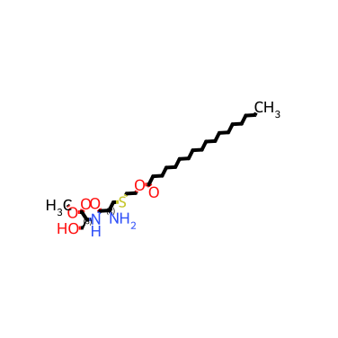 CCCCCCCCCCCCCCCCCC(=O)OCCSC[C@H](N)C(=O)N[C@@H](CO)C(=O)OC